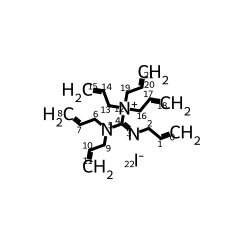 C=CCN=C(N(CC=C)CC=C)[N+](CC=C)(CC=C)CC=C.[I-]